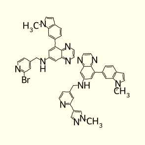 Cn1cc(-c2cc(CNc3cc(-c4ccc5ccn(C)c5c4)c4nccnc4c3)ccn2)cn1.Cn1ccc2ccc(-c3cc(NCc4ccnc(Br)c4)cc4nccnc34)cc21